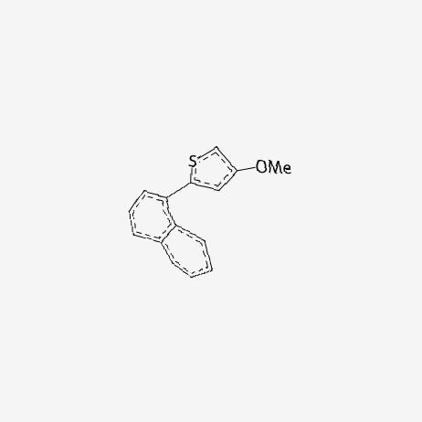 COc1csc(-c2cccc3ccccc23)c1